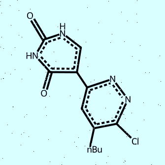 CCCCc1cc(-c2c[nH]c(=O)[nH]c2=O)nnc1Cl